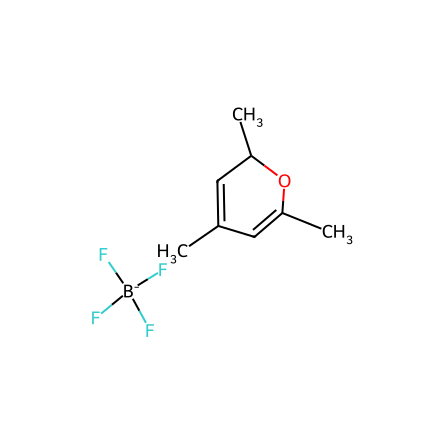 CC1=CC(C)OC(C)=C1.F[B-](F)(F)F